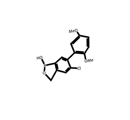 COc1ccc(OC)c(-c2cc3c(cc2Cl)COB3O)c1